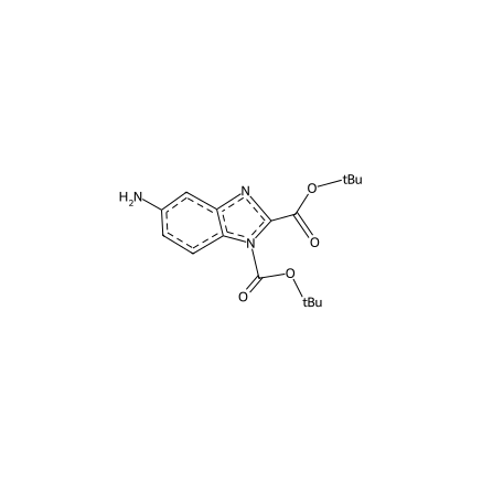 CC(C)(C)OC(=O)c1nc2cc(N)ccc2n1C(=O)OC(C)(C)C